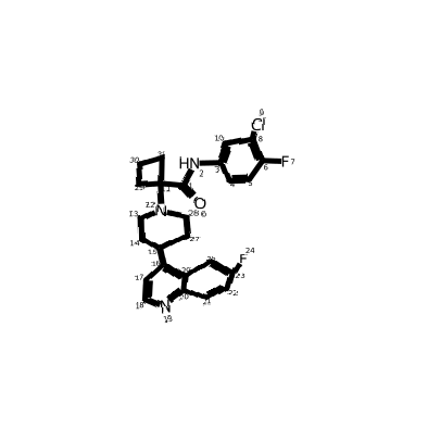 O=C(Nc1ccc(F)c(Cl)c1)C1(N2CCC(c3ccnc4ccc(F)cc34)CC2)CCC1